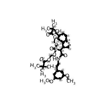 COc1cc(C=CNC(=O)C(c2csc3ccc(Cl)cc23)P(=O)(OCOC(=O)C(C)(C)C)OCOC(=O)C(C)(C)C)cc(OC)c1